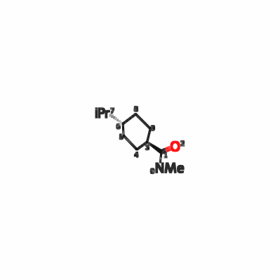 CNC(=O)[C@H]1CC[C@H](C(C)C)CC1